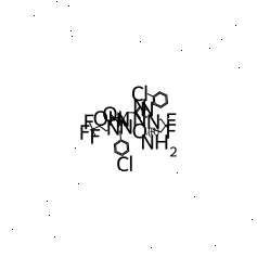 NC(=O)[C@H]1CC(F)(F)CN1c1nc(Cn2nc(-c3ccc(Cl)cc3)n(CC(O)C(F)(F)F)c2=O)nn1-c1ccccc1Cl